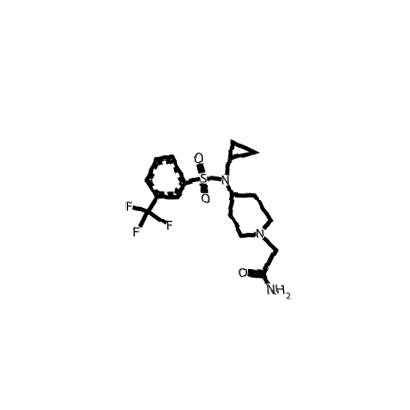 NC(=O)CN1CCC(N(C2CC2)S(=O)(=O)c2cccc(C(F)(F)F)c2)CC1